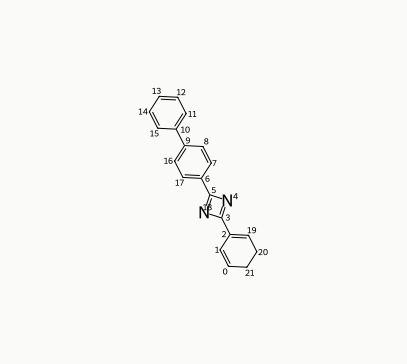 C1=CC(C2=NC(c3ccc(-c4ccccc4)cc3)=N2)=CCC1